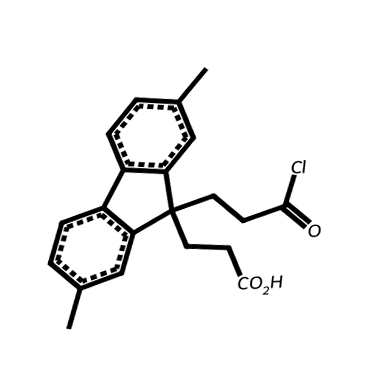 Cc1ccc2c(c1)C(CCC(=O)O)(CCC(=O)Cl)c1cc(C)ccc1-2